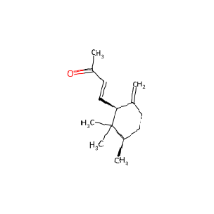 C=C1CC[C@@H](C)C(C)(C)[C@H]1C=CC(C)=O